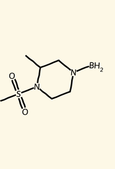 BN1CCN(S(C)(=O)=O)C(C)C1